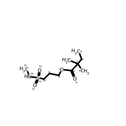 CCC(C)(C)C(=O)OCCCS(=O)(=O)NC